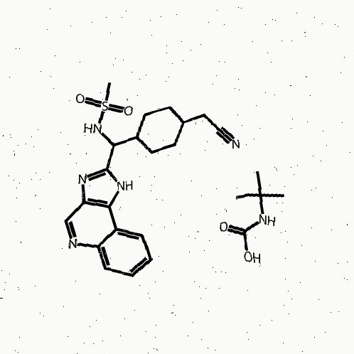 CC(C)(C)NC(=O)O.CS(=O)(=O)NC(c1nc2cnc3ccccc3c2[nH]1)C1CCC(CC#N)CC1